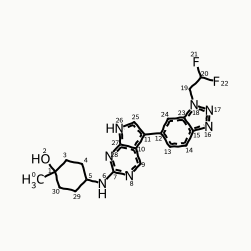 CC1(O)CCC(Nc2ncc3c(-c4ccc5nnn(CC(F)F)c5c4)c[nH]c3n2)CC1